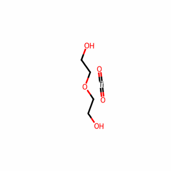 OCCOCCO.[O]=[Ti]=[O]